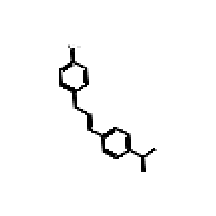 CC(C)c1ccc(C=CCc2ccc(O)cc2)cc1